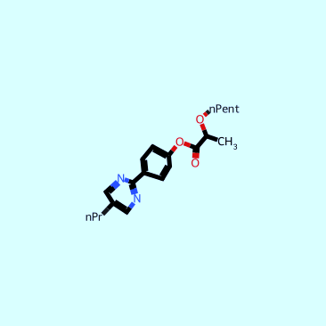 CCCCCOC(C)C(=O)Oc1ccc(-c2ncc(CCC)cn2)cc1